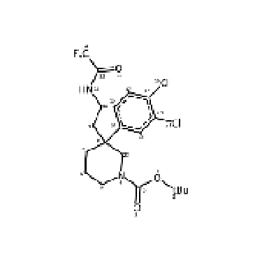 CC(C)(C)OC(=O)N1CCCC(CCNC(=O)C(F)(F)F)(c2ccc(Cl)c(Cl)c2)C1